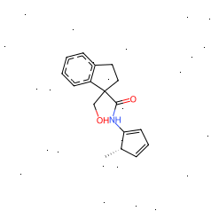 C[C@H]1C=CC=C1NC(=O)C1(CO)CCc2ccccc21